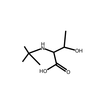 CC(O)C(NC(C)(C)C)C(=O)O